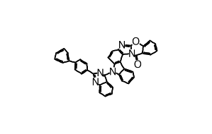 O=c1c2ccccc2oc2nc3ccc4c(c5ccccc5n4-c4nc(-c5ccc(-c6ccccc6)cc5)nc5ccccc45)c3n12